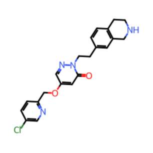 O=c1cc(OCc2ccc(Cl)cn2)cnn1CCc1ccc2c(c1)CNCC2